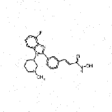 CN1CCC[C@@H](n2c(-c3cccc(C=CC(=O)NO)c3)nc3c(F)cccc32)C1